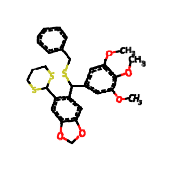 COc1cc(C(SCc2ccccc2)c2cc3c(cc2C2SCCCS2)OCO3)cc(OC)c1OC